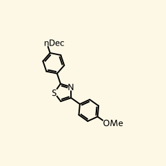 CCCCCCCCCCc1ccc(-c2nc(-c3ccc(OC)cc3)cs2)cc1